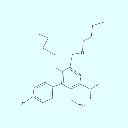 CCCCCc1c(COCCCC)nc(C(C)C)c(CO)c1-c1ccc(F)cc1